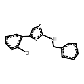 Clc1ccccc1-c1csc(NCc2ccccc2)n1